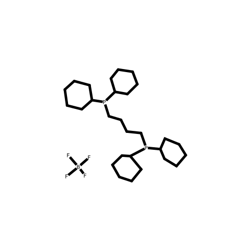 C1CCC(P(CCCCP(C2CCCCC2)C2CCCCC2)C2CCCCC2)CC1.F[B-](F)(F)F